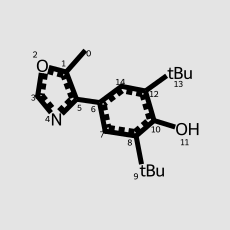 Cc1ocnc1-c1cc(C(C)(C)C)c(O)c(C(C)(C)C)c1